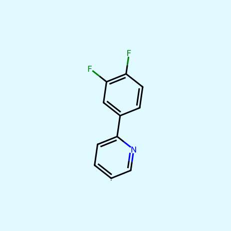 Fc1ccc(-c2cc[c]cn2)cc1F